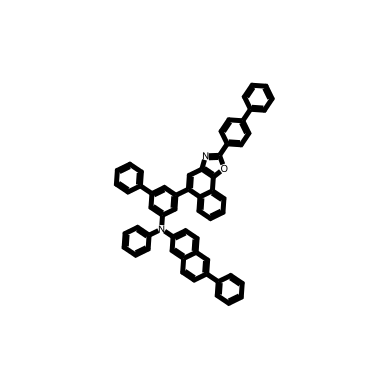 c1ccc(-c2ccc(-c3nc4cc(-c5cc(-c6ccccc6)cc(N(c6ccccc6)c6ccc7cc(-c8ccccc8)ccc7c6)c5)c5ccccc5c4o3)cc2)cc1